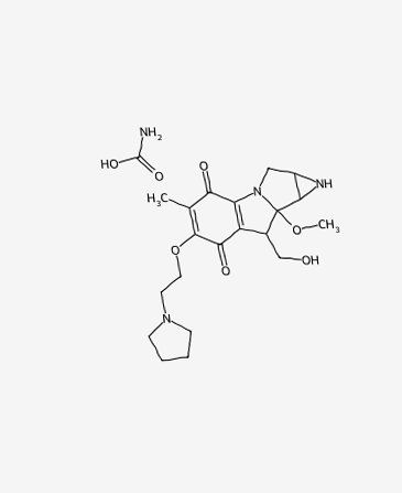 COC12C(CO)C3=C(C(=O)C(C)=C(OCCN4CCCC4)C3=O)N1CC1NC12.NC(=O)O